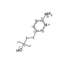 CC(C)(O)CCc1ccc(N)nc1